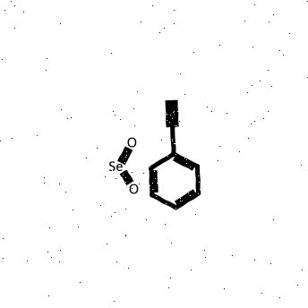 C#Cc1ccccc1.O=[Se]=O